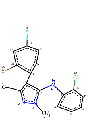 Cc1nn(C)c(Nc2ccccc2Cl)c1-c1ccc(F)cc1Br